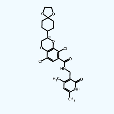 Cc1cc(C)c(CNC(=O)c2cc(Cl)c3c(c2Cl)O[C@H](C2CCC4(CC2)OCCO4)CO3)c(=O)[nH]1